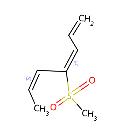 C=C/C=C(\C=C/C)S(C)(=O)=O